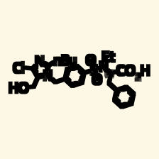 CCCCc1nc(Cl)c(CO)n1Cc1ccc(S(=O)(=O)N(CC)[C@H](Cc2ccccc2)C(=O)O)cc1